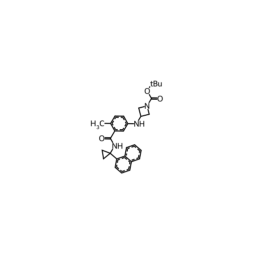 Cc1ccc(NC2CN(C(=O)OC(C)(C)C)C2)cc1C(=O)NC1(c2cccc3ccccc23)CC1